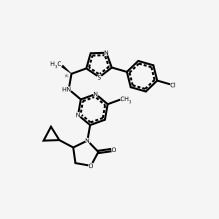 Cc1cc(N2C(=O)OCC2C2CC2)nc(N[C@@H](C)c2cnc(-c3ccc(Cl)cc3)s2)n1